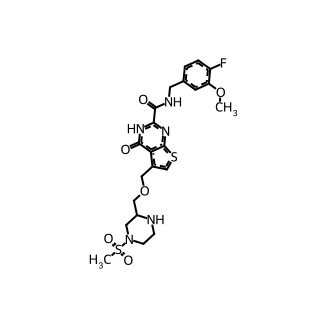 COc1cc(CNC(=O)c2nc3scc(COCC4CN(S(C)(=O)=O)CCN4)c3c(=O)[nH]2)ccc1F